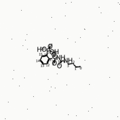 CCCCNC(=O)NS(=O)(=O)c1ccccc1P(=O)(O)O